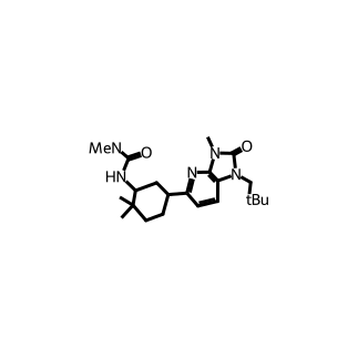 CNC(=O)NC1CC(c2ccc3c(n2)n(C)c(=O)n3CC(C)(C)C)CCC1(C)C